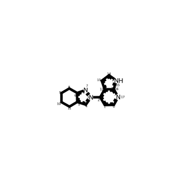 c1cc(-n2cc3c(n2)CCCC3)c2cc[nH]c2n1